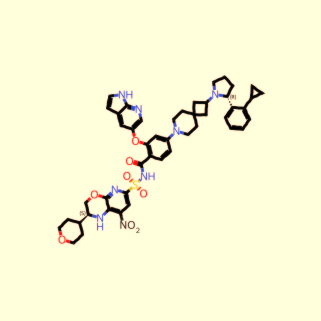 O=C(NS(=O)(=O)c1cc([N+](=O)[O-])c2c(n1)OC[C@H](C1CCOCC1)N2)c1ccc(N2CCC3(CC2)CC(N2CCC[C@@H]2c2ccccc2C2CC2)C3)cc1Oc1cnc2[nH]ccc2c1